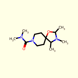 CC1OC2(CCN(C(=O)N(C)C)CC2)C(C)N1C